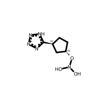 ON(O)O[C@H]1CC[C@H](c2nnn[nH]2)C1